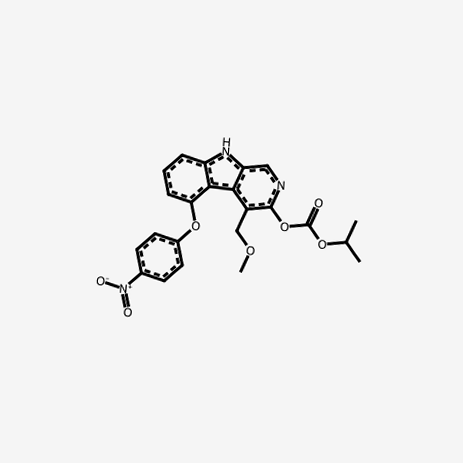 COCc1c(OC(=O)OC(C)C)ncc2[nH]c3cccc(Oc4ccc([N+](=O)[O-])cc4)c3c12